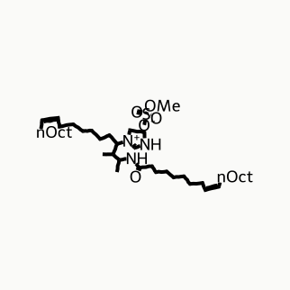 CCCCCCCC/C=C\CCCCCCCC(=O)NC(C)C(C)C(CCCCCC/C=C\CCCCCCCC)[N+]1=CNCC1.COS(=O)(=O)[O-]